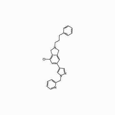 Clc1cc(-c2cnn(Cc3ccccn3)c2)cc2c1CN(CCCc1ccccc1)C2